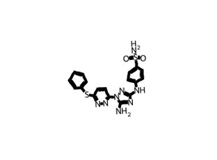 Nc1nc(Nc2ccc(S(N)(=O)=O)cc2)nn1-c1ccc(Sc2ccccc2)nn1